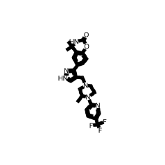 CC1CN(Cc2c[nH]nc2-c2ccc3c(c2)C(C)(C)NC(=O)O3)CCN1c1ccc(C(F)(F)F)cn1